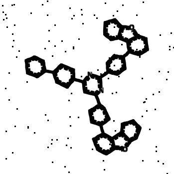 c1ccc(-c2ccc(-c3cc(-c4ccc(-c5cccc6oc7ccccc7c56)cc4)nc(-c4ccc(-c5cccc6oc7ccccc7c56)cc4)n3)cc2)cc1